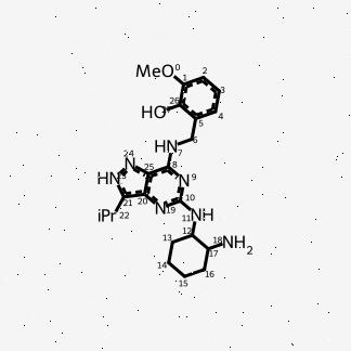 COc1cccc(CNc2nc(NC3CCCCC3N)nc3c(C(C)C)[nH]nc23)c1O